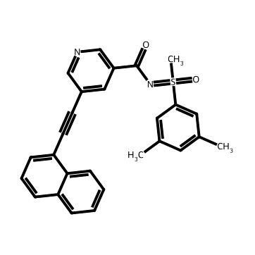 Cc1cc(C)cc(S(C)(=O)=NC(=O)c2cncc(C#Cc3cccc4ccccc34)c2)c1